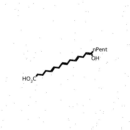 CCCCCC(O)=CCC=CCC=CCC=CCCCC(=O)O